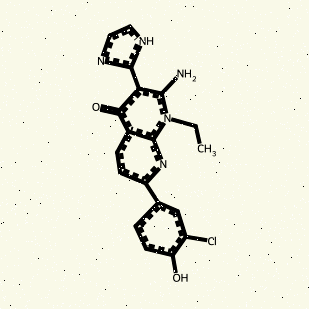 CCn1c(N)c(-c2ncc[nH]2)c(=O)c2ccc(-c3ccc(O)c(Cl)c3)nc21